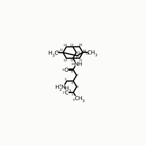 CC(C)CC(CN)CC(=O)NC12CC3CC(C)(CC(C)(C3)C1)C2